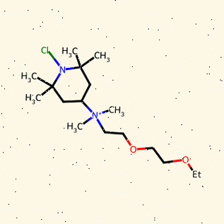 CCOCCOCC[N+](C)(C)C1CC(C)(C)N(Cl)C(C)(C)C1